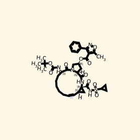 Cc1onc(-c2ccccc2)c1C(=O)O[C@@H]1C[C@H]2C(=O)N[C@]3(C(=O)NS(=O)(=O)C4CC4)C[C@H]3/C=C\CCCCC[C@H](NC(=O)OC(C)(C)C)C(=O)N2C1